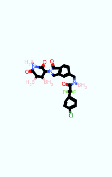 BC1C(=O)N(B)C(=O)C(N2Cc3cc(CN(B)C(=O)C(F)(F)c4ccc(Cl)cc4)ccc3C2=O)C1B